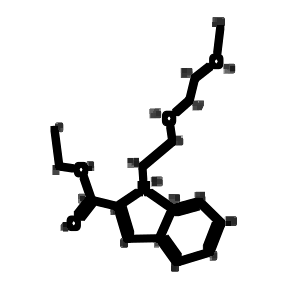 CCOC(=O)c1cc2ccccc2n1CCOCCOC